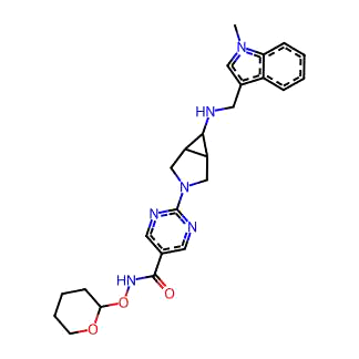 Cn1cc(CNC2C3CN(c4ncc(C(=O)NOC5CCCCO5)cn4)CC32)c2ccccc21